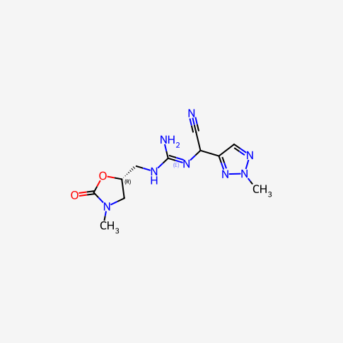 CN1C[C@@H](CN/C(N)=N/C(C#N)c2cnn(C)n2)OC1=O